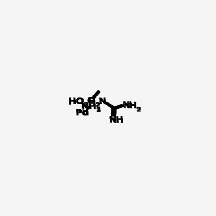 CC(=O)O.N.N=C(N)N.[Pd]